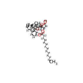 CCCCCCCCCCCCCC(=O)OCC1(CO[Si](c2ccccc2)(c2ccccc2)C(C)(C)C)CCC(=O)O1